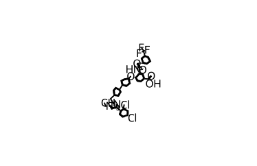 CCn1cc(-c2ccc(Cl)cc2Cl)nc1Cc1ccc(-c2ccc(Oc3ccc(C(=O)O)cc3NS(=O)(=O)c3cccc(C(F)(F)F)c3)cc2)cc1